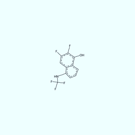 Oc1c(F)c(F)cc2c(NC(F)(F)F)cccc12